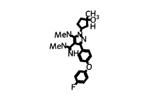 CNC(=N)c1c(-c2ccc(Oc3ccc(F)cc3)cc2)nn(C2CCC(C)(O)C2)c1NC